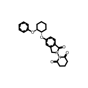 O=C1c2ccc(O[C@H]3CCCC[C@@H]3Oc3ccccc3)cc2CN1N1C(=O)CCCC1=O